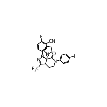 N#Cc1cc(N2N=C(C(F)(F)F)C3CCN(c4ccc(I)cc4)C(=O)C32N2CCCC2)ccc1F